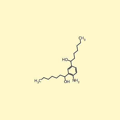 CCCCCCC(O)c1ccc(N)c(C(O)CCCCCC)c1